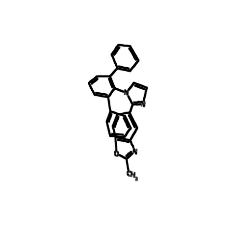 Cc1nc2cc(-c3nccn3-c3c(-c4ccccc4)cccc3-c3ccccc3)ccc2o1